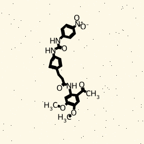 COc1cc(NC(=O)CCc2ccc(NC(=O)Nc3ccc([N+](=O)[O-])cc3)cc2)c(C(C)=O)cc1OC